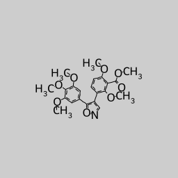 COC(=O)c1c(OC)ccc(-c2cnoc2-c2cc(OC)c(OC)c(OC)c2)c1OC